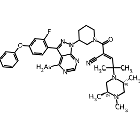 C[C@@H]1CN(C)[C@@H](C)CN1C(C)(C)C=C(C#N)C(=O)N1CCCC(n2nc(-c3ccc(Oc4ccccc4)cc3F)c3c([AsH2])ncnc32)C1